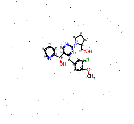 COc1ccc(Cc2nc(N3CCC[C@H]3CO)ncc2[C@H](O)c2ccccn2)cc1Cl